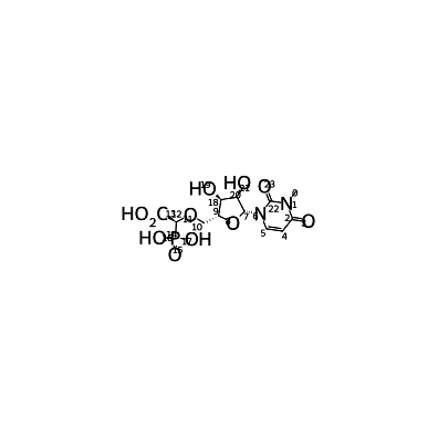 Cn1c(=O)ccn([C@@H]2O[C@H](CO[C@H](C(=O)O)P(=O)(O)O)[C@@H](O)[C@H]2O)c1=O